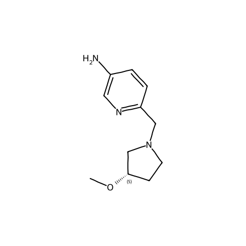 CO[C@H]1CCN(Cc2ccc(N)cn2)C1